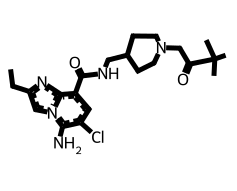 CCc1cn2c(N)c(Cl)cc(C(=O)NCC3CCN(CC(=O)C(C)(C)C)CC3)c2n1